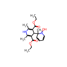 CCOC(=O)C1=C(C)NC(C)=C(C(=O)OCC)C1C1(C)C=CC=CN1O